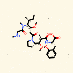 CC[C@H](C)[C@@H]([C@@H](CC(=O)N1CCC[C@H]1[C@H](OC)[C@@H](C)C(=O)N[C@@H](Cc1ccccc1OC)C(=O)O)OC)N(C)C(=O)CNC